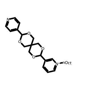 CCCCCCCC[n+]1cccc(C2OCC3(COC(c4ccncc4)OC3)CO2)c1